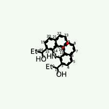 CCC(O)c1ccc2ccccc2c1Nc1c(C(O)CC)ccc2ccccc12